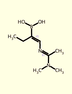 CC/C(=C\N=C(/C)N(C)C)B(O)O